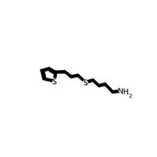 NCCCCSCCCc1cccs1